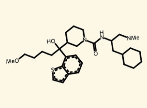 CNCC(CC1CCCCC1)NC(=O)N1CCCC(C(O)(CCCCOC)c2cccc3ccsc23)C1